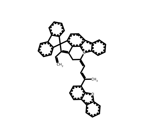 C=CC1=C2C/C(=C\C=C(/C)c3cccc4c3oc3ccccc34)n3c4ccccc4c4ccc(c2c43)C12c1ccccc1-c1ccccc12